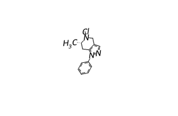 C[C@H]1Cc2c(cnn2-c2ccccc2)CN1Cl